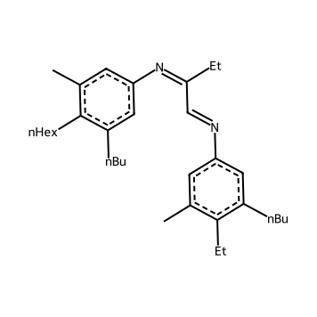 CCCCCCc1c(C)cc(N=C(C=Nc2cc(C)c(CC)c(CCCC)c2)CC)cc1CCCC